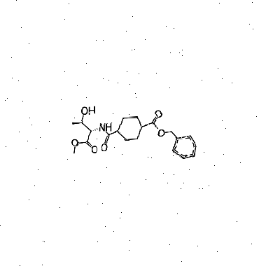 COC(=O)[C@@H](NC(=O)C1CCC(C(=O)OCc2ccccc2)CC1)[C@@H](C)O